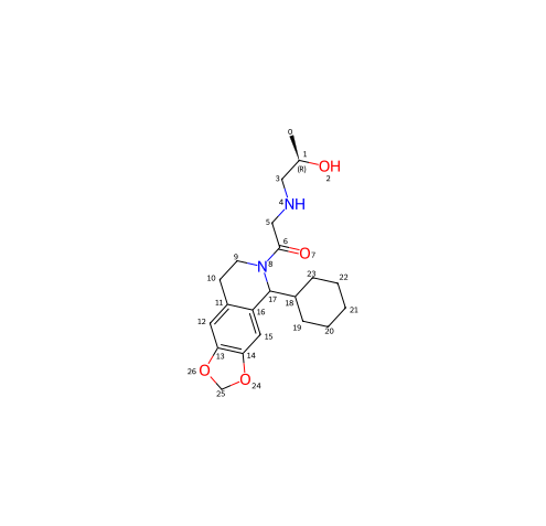 C[C@@H](O)CNCC(=O)N1CCc2cc3c(cc2C1C1CCCCC1)OCO3